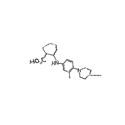 Cc1cc(NC2CCCCC2C(=O)O)ccc1N1CCC(C)CC1